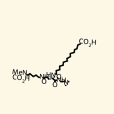 CN[C@@H](CCCCNC(=O)CC[C@H](NC(=O)CCCCCCCCCCCCCCC(=O)O)C(=O)NCCN(C)C)C(=O)O